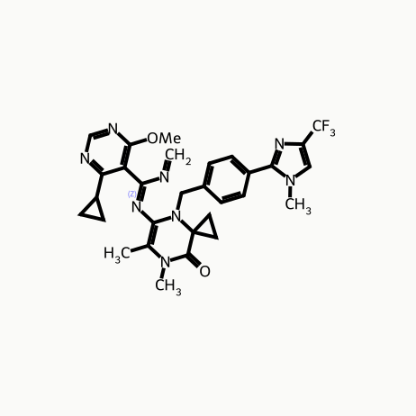 C=N/C(=N\C1=C(C)N(C)C(=O)C2(CC2)N1Cc1ccc(-c2nc(C(F)(F)F)cn2C)cc1)c1c(OC)ncnc1C1CC1